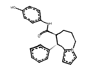 O=C(Nc1ccc(O)cc1)[C@H]1CCCn2cccc2[C@@H]1c1ccccc1